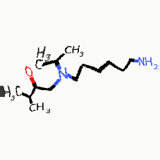 CC(C)C(=O)CN(CCCCCCN)C(C)C